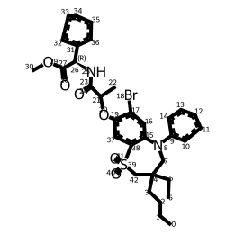 CCCCC1(CC)CN(c2ccccc2)c2cc(Br)c(OC(C)C(=O)N[C@@H](C(=O)OC)c3ccccc3)cc2S(=O)(=O)C1